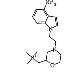 C[N+](C)(C)CC1CN(CCn2ccc3c(N)cccc32)CCO1